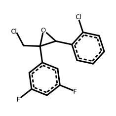 Fc1cc(F)cc(C2(CCl)OC2c2ccccc2Cl)c1